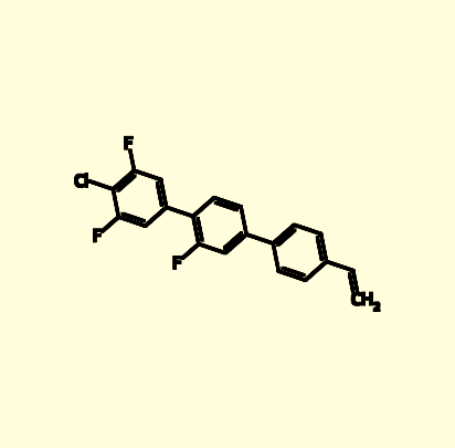 C=Cc1ccc(-c2ccc(-c3cc(F)c(Cl)c(F)c3)c(F)c2)cc1